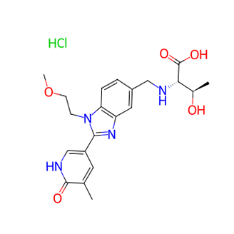 COCCn1c(-c2c[nH]c(=O)c(C)c2)nc2cc(CN[C@H](C(=O)O)[C@@H](C)O)ccc21.Cl